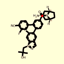 CC(C)(O)Cn1ncc2cc(-c3ccc(C(=O)N4[C@@H]5CC[C@H]4C[C@@H](N)C5)cc3-c3ccc(C#N)c(F)c3)c(F)cc21